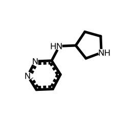 c1cnnc(NC2CCNC2)c1